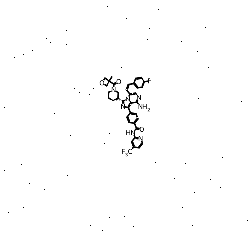 CC1(C(=O)N2CCC[C@@H](c3nc(-c4ccc(C(=O)Nc5cc(C(F)(F)F)ccn5)cc4)c4c(N)ncc(C=Cc5ccc(F)cc5)n34)C2)COC1